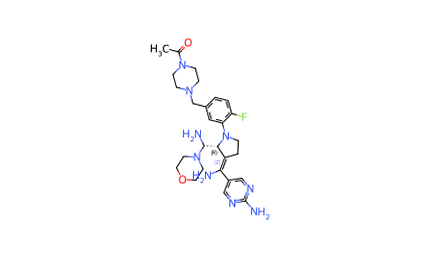 CC(=O)N1CCN(Cc2ccc(F)c(N3CC/C(=C(/N)c4cnc(N)nc4)[C@@H]3C(N)N3CCOCC3)c2)CC1